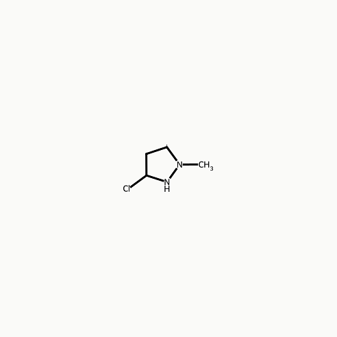 CN1[CH]CC(Cl)N1